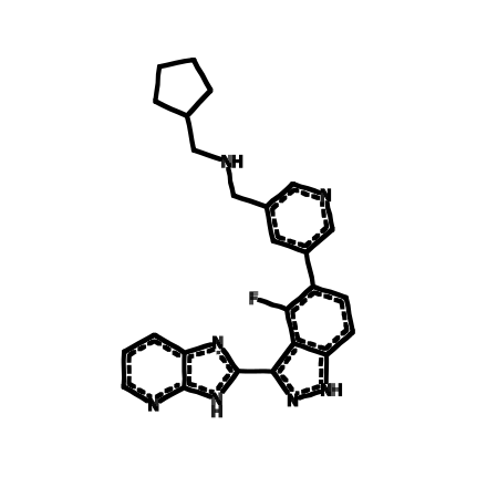 Fc1c(-c2cncc(CNCC3CCCC3)c2)ccc2[nH]nc(-c3nc4cccnc4[nH]3)c12